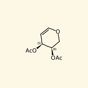 CC(=O)O[C@H]1C=COC[C@H]1OC(C)=O